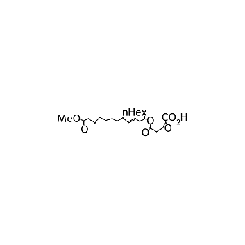 CCCCCCC(CC=CCCCCCCCC(=O)OC)OC(=O)CC1OC1C(=O)O